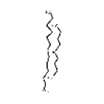 CCCCCCOCCCCCC.CCC[CH2][Sn][CH2]CCC